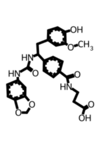 COc1cc(CC(NC(=O)Nc2ccc3c(c2)OCO3)c2ccc(C(=O)NCCC(=O)O)cc2)ccc1O